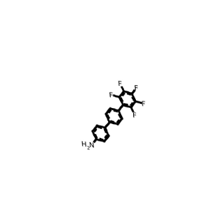 Nc1ccc(-c2ccc(-c3c(F)c(F)c(F)c(F)c3F)cc2)cc1